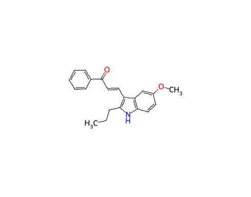 CCCc1[nH]c2ccc(OC)cc2c1/C=C/C(=O)c1ccccc1